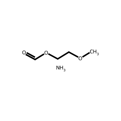 COCCOC=O.N